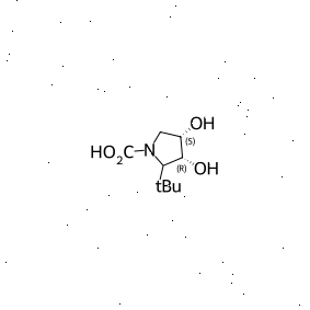 CC(C)(C)C1[C@@H](O)[C@@H](O)CN1C(=O)O